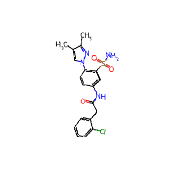 Cc1cn(-c2ccc(NC(=O)Cc3ccccc3Cl)cc2S(N)(=O)=O)nc1C